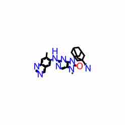 Cc1cc2ncncc2cc1Nc1ncc2c(n1)n(C13CC4CC(CC(C#N)(C4)C1)C3)c(=O)n2C